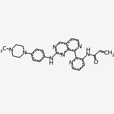 C=CC(=O)Nc1cccnc1-c1nccc2cnc(Nc3ccc(N4CCN(C)CC4)cc3)nc12